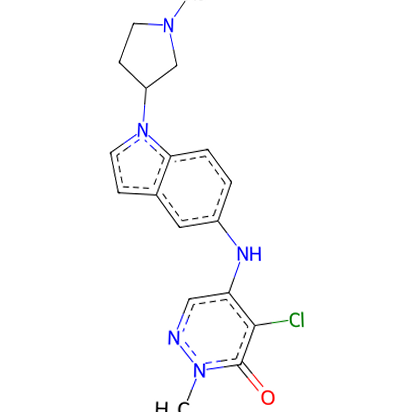 CC(=O)N1CCC(n2ccc3cc(Nc4cnn(C)c(=O)c4Cl)ccc32)C1